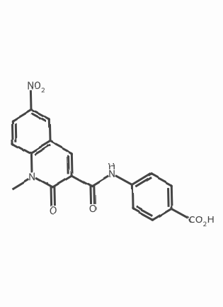 Cn1c(=O)c(C(=O)Nc2ccc(C(=O)O)cc2)cc2cc([N+](=O)[O-])ccc21